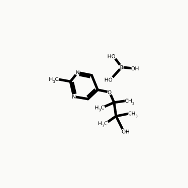 Cc1ncc(OC(C)(C)C(C)(C)O)cn1.OB(O)O